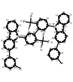 Cc1cccc(-c2ccc3c4ccccc4n(-c4ccc(C(F)(F)F)c(-c5cc(-n6c7ccccc7c7ccc(-c8cccc(C)c8)cc76)ccc5C(F)(F)F)c4)c3c2)c1